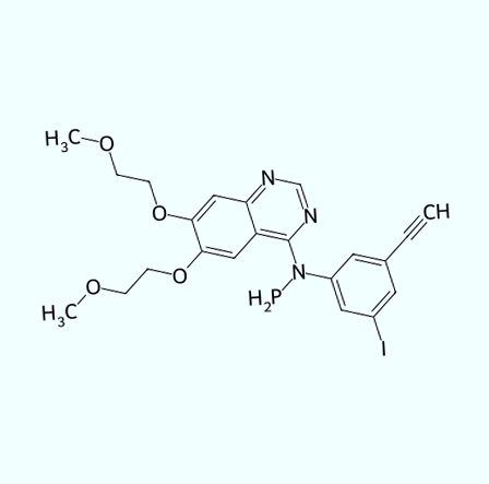 C#Cc1cc(I)cc(N(P)c2ncnc3cc(OCCOC)c(OCCOC)cc23)c1